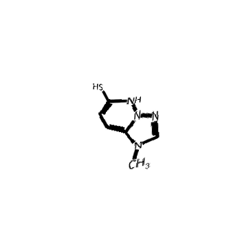 CN1C=NN2NC(S)=CC=C12